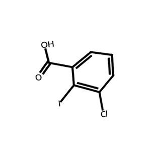 O=C(O)c1cccc(Cl)c1I